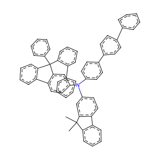 CC1(C)c2ccccc2-c2ccc(N(c3ccc(-c4ccc(-c5ccccc5)cc4)cc3)c3ccc4c(c3)C(c3ccccc3)(c3ccccc3-c3ccccc3)c3ccccc3-4)cc21